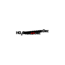 CCCCCCCCCCCCCCCCCCCCC.CCCCCCCCCCCCCCCCCCCCCCCCCCCCCC(=O)O